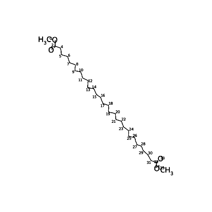 COC(=O)CCCCCCCCCCCCCCCCCCCCCCCCCCCCC(=O)OC